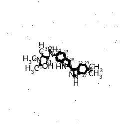 CC(O)N(C)[C@@H](C)C(=O)N(C)c1ccc2cc(-c3n[nH]c4c3CCC(C)(C)C4)[nH]c2c1